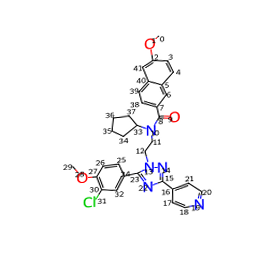 COc1ccc2cc(C(=O)N(CCn3nc(-c4ccncc4)nc3-c3ccc(OC)c(Cl)c3)C3CCCC3)ccc2c1